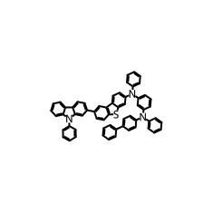 c1ccc(-c2ccc(N(c3ccccc3)c3cccc(N(c4ccccc4)c4ccc5c(c4)sc4ccc(-c6ccc7c8ccccc8n(-c8ccccc8)c7c6)cc45)c3)cc2)cc1